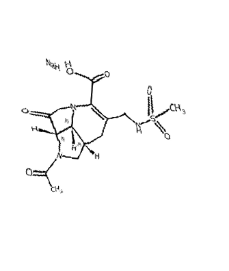 CC(=O)N1C[C@H]2CC(CNS(C)(=O)=O)=C(C(=O)O)N3C(=O)[C@@H]1[C@@H]23.[NaH]